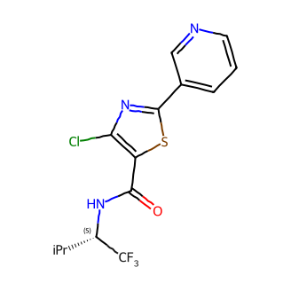 CC(C)[C@H](NC(=O)c1sc(-c2cccnc2)nc1Cl)C(F)(F)F